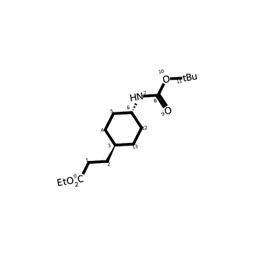 CCOC(=O)CC[C@H]1CC[C@H](NC(=O)OC(C)(C)C)CC1